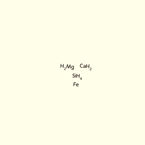 [CaH2].[Fe].[MgH2].[SiH4]